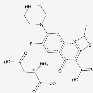 CC1Sc2c(C(=O)O)c(=O)c3cc(F)c(N4CCNCC4)cc3n21.N[C@@H](CC(=O)O)C(=O)O